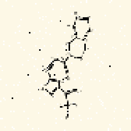 CC(C)(C)C(=O)c1c[nH]c2ncc(N3CCc4ccccc4C3)nc12